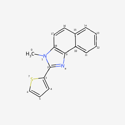 Cn1c(-c2cccs2)nc2c3ccccc3ccc21